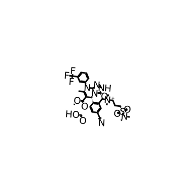 COC(=O)C1=C(C)N(c2cccc(C(F)(F)F)c2)c2n[nH]c(=O)n2[C@@H]1c1ccc(C#N)cc1C[N+](C)(C)CCCS(=O)(=O)N(C)C.O=CO